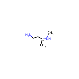 CN[C@@H](C)CCN